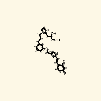 OCC(O)Cc1nccn1CCCc1cccc(OCc2coc(C=Cc3ccc(F)cc3F)n2)c1